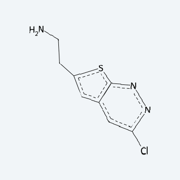 NCCc1cc2cc(Cl)nnc2s1